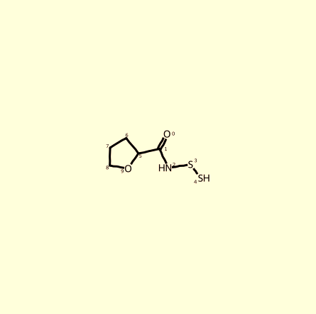 O=C(NSS)C1CCCO1